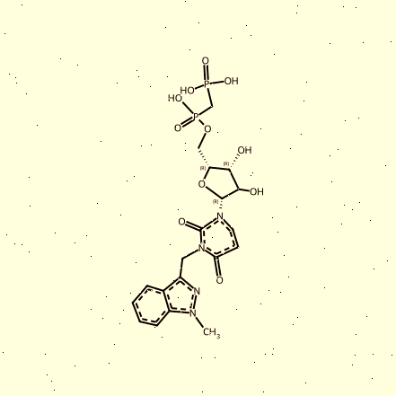 Cn1nc(Cn2c(=O)ccn([C@@H]3O[C@H](COP(=O)(O)CP(=O)(O)O)[C@H](O)C3O)c2=O)c2ccccc21